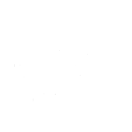 COc1cc(C2=C(OCc3ccccc3)Cc3ccccc3O2)ccc1F